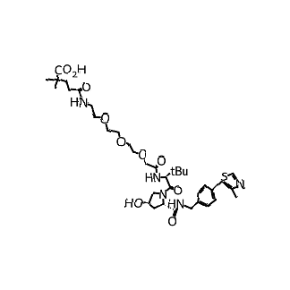 Cc1ncsc1-c1ccc(CNC(=O)[C@@H]2C[C@@H](O)CN2C(=O)[C@@H](NC(=O)COCCOCCOCCNC(=O)CCC(C)(C)C(=O)O)C(C)(C)C)cc1